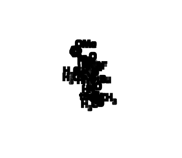 COc1cccc(CCNC(=O)[C@H](CC(F)F)NC(=O)[C@@H]2[C@@H]3[C@H](CN2C(=O)[C@@H](NC(=O)N[C@H](CN(C)S(C)(=O)=O)C(C)(C)C)C(C)(C)C)C3(C)C)c1